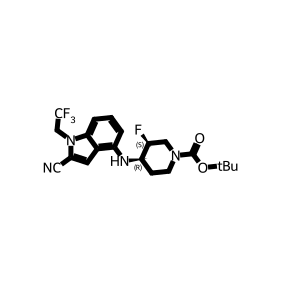 CC(C)(C)OC(=O)N1CC[C@@H](Nc2cccc3c2cc(C#N)n3CC(F)(F)F)[C@@H](F)C1